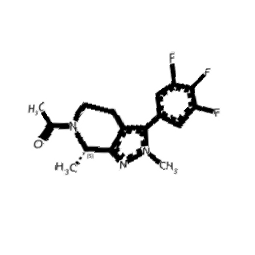 CC(=O)N1CCc2c(nn(C)c2-c2cc(F)c(F)c(F)c2)[C@@H]1C